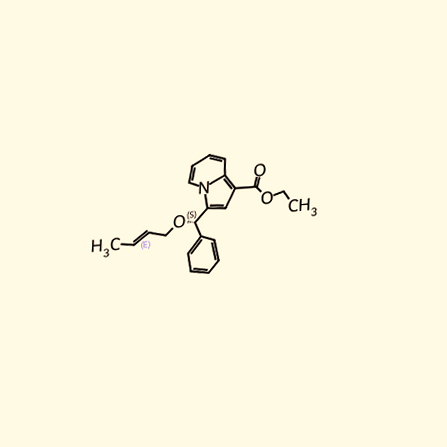 C/C=C/CO[C@@H](c1ccccc1)c1cc(C(=O)OCC)c2ccccn12